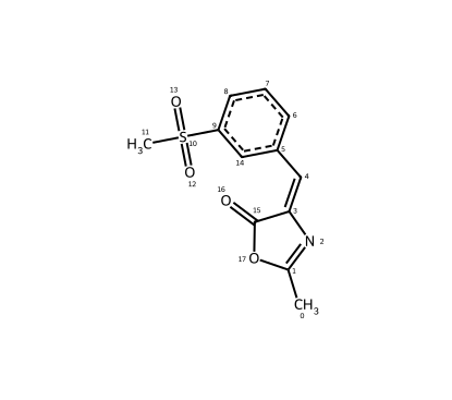 CC1=NC(=Cc2cccc(S(C)(=O)=O)c2)C(=O)O1